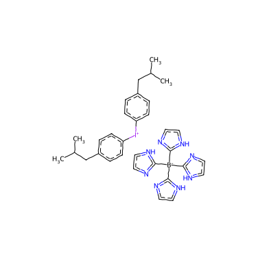 CC(C)Cc1ccc([I+]c2ccc(CC(C)C)cc2)cc1.c1c[nH]c([B-](c2ncc[nH]2)(c2ncc[nH]2)c2ncc[nH]2)n1